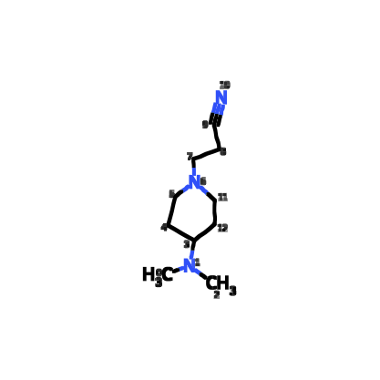 CN(C)C1CCN(CCC#N)CC1